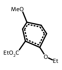 CCOC(=O)c1cc(OC)ccc1OCC